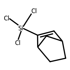 Cl[Si](Cl)(Cl)C1=CC2CCC1C2